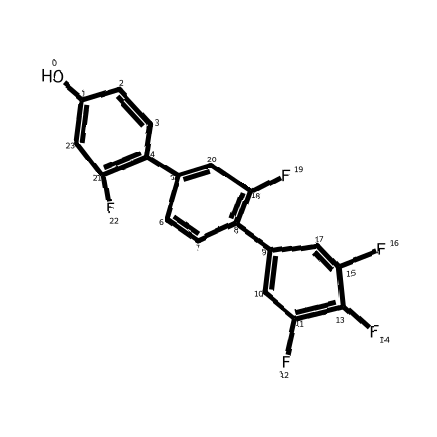 Oc1ccc(-c2ccc(-c3cc(F)c(F)c(F)c3)c(F)c2)c(F)c1